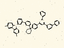 Cc1ccc2c(c1)c1cc(C)ccc1n2-c1cccc(-c2cccc(C3(c4ccc(-c5cc(-c6cccc(-c7ccccc7)c6)nc(-c6ccccc6)n5)cc4)CCCCC3)c2)c1